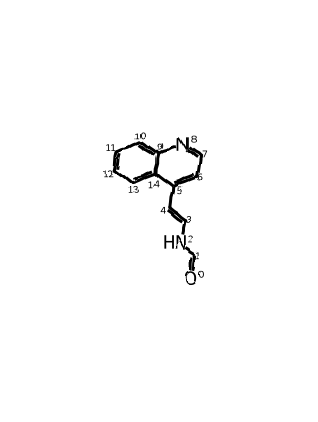 O=CNC=Cc1ccnc2ccccc12